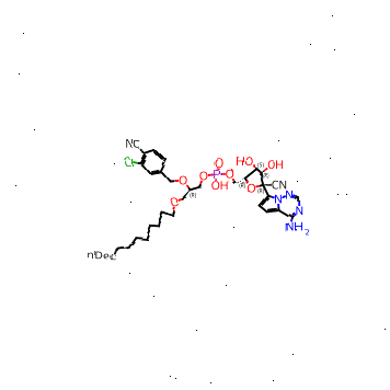 CCCCCCCCCCCCCCCCCCOC[C@H](COP(=O)(O)OC[C@H]1O[C@@](C#N)(c2ccc3c(N)ncnn23)[C@H](O)[C@@H]1O)OCc1ccc(C#N)c(Cl)c1